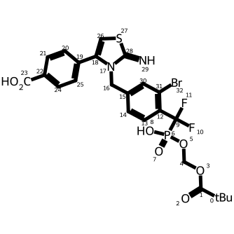 CC(C)(C)C(=O)OCOP(=O)(O)C(F)(F)c1ccc(Cn2c(-c3ccc(C(=O)O)cc3)csc2=N)cc1Br